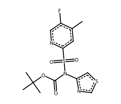 Cc1cc(S(=O)(=O)N(C(=O)OC(C)(C)C)c2cscn2)ncc1F